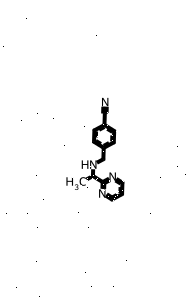 CC(NCc1ccc(C#N)cc1)c1ncccn1